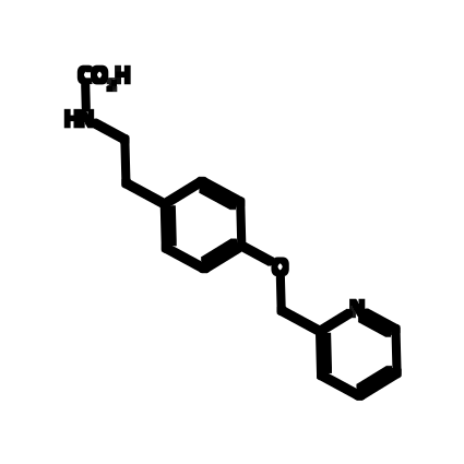 O=C(O)NCCc1ccc(OCc2ccccn2)cc1